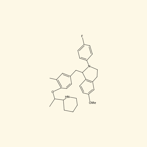 COc1ccc2c(c1)CCN(c1ccc(F)cc1)C2Cc1ccc(OC(C)C2CCCCN2)c(C)c1